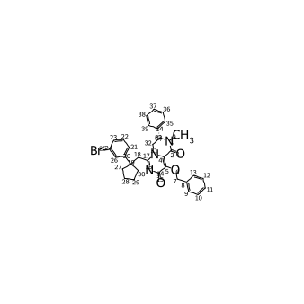 CN1C(=O)c2c(OCc3ccccc3)c(=O)nc(CC3(c4cccc(Br)c4)CCCC3)n2C[C@@H]1c1ccccc1